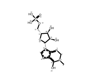 CN1CN=c2c(ncn2[C@@H]2O[C@H](COP(=O)(O)O)[C@@H](O)[C@H]2O)=C1O